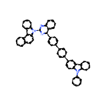 c1ccc(-n2c3ccccc3c3cc(-c4ccc(-c5ccc(-c6nc(-n7c8ccccc8c8c9ccccc9ccc87)nc7ccccc67)cc5)cc4)ccc32)cc1